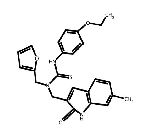 CCOc1ccc(NC(=S)N(Cc2ccco2)Cc2cc3ccc(C)cc3[nH]c2=O)cc1